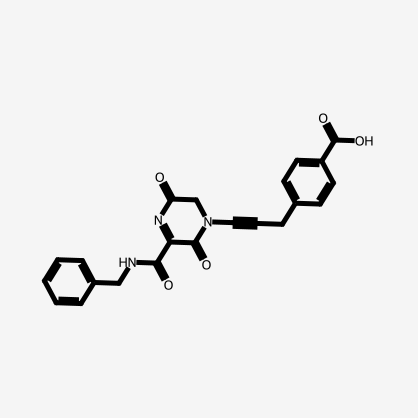 O=C1CN(C#CCc2ccc(C(=O)O)cc2)C(=O)C(C(=O)NCc2ccccc2)=N1